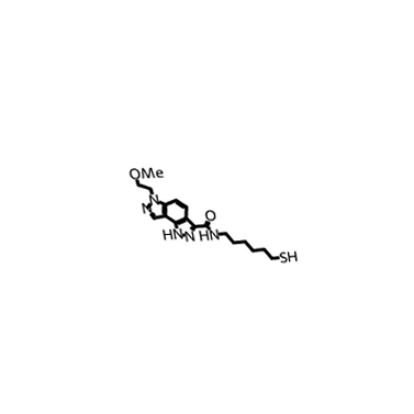 COCCn1ncc2c3[nH]nc(C(=O)NCCCCCCS)c3ccc21